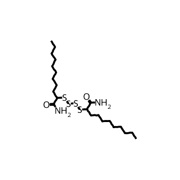 CCCCCCCCCC(SSSSC(CCCCCCCCC)C(N)=O)C(N)=O